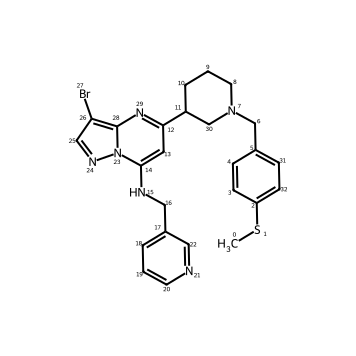 CSc1ccc(CN2CCCC(c3cc(NCc4cccnc4)n4ncc(Br)c4n3)C2)cc1